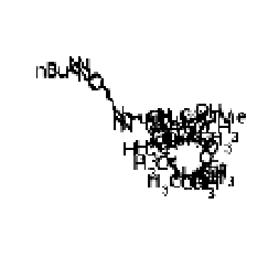 CCCCc1cn(-c2ccc(CCCCn3cc(CCN(C)[C@H]4C[C@@H](C)O[C@@H](O[C@@H]5[C@@H](C)C([C@H]6C[C@@](C)(OC)[C@@H](O)[C@H](C)O6)[C@@H](C)C(=O)O[C@H](CC)[C@@](C)(O)[C@H](O)[C@@H](C)N(C)C[C@H](C)C[C@@]5(C)O)[C@@H]4O)nn3)cc2)nn1